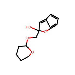 OC1(COC2CCCCO2)C=C2C=CC=C2O1